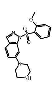 COc1ccccc1S(=O)(=O)n1ncc2ccc(N3CCNCC3)cc21